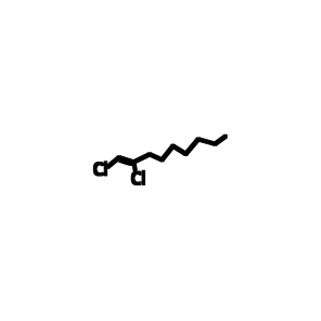 CCCCCCCC(Cl)=CCl